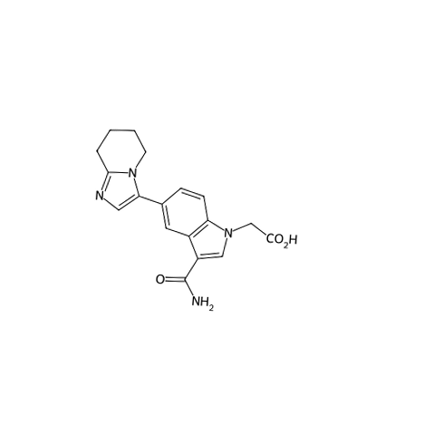 NC(=O)c1cn(CC(=O)O)c2ccc(-c3cnc4n3CCCC4)cc12